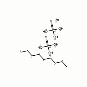 CCCCCCCCC.OP(O)(O)=S.OP(O)(O)=S.[Zn]